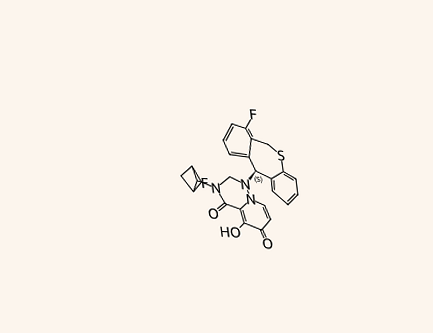 O=C1c2c(O)c(=O)ccn2N([C@@H]2c3ccccc3SCc3c(F)cccc32)CN1C1C2CC1C2F